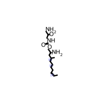 C/C=C\C/C=C/C=C(\C)C[C@@H](N)COC(=O)NCC(=O)CN